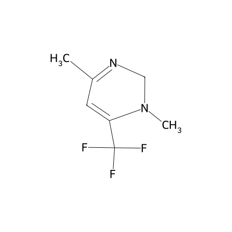 CC1=NCN(C)C(C(F)(F)F)=C1